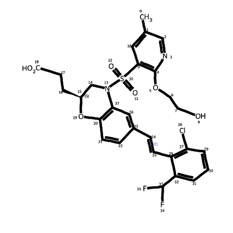 Cc1cnc(OCCO)c(S(=O)(=O)N2C[C@H](CCC(=O)O)Oc3ccc(/C=C/c4c(Cl)cccc4C(F)F)cc32)c1